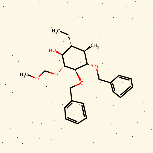 CC[C@@H]1[C@@H](C)[C@H](OCc2ccccc2)[C@@H](OCc2ccccc2)[C@H](OCOC)[C@H]1O